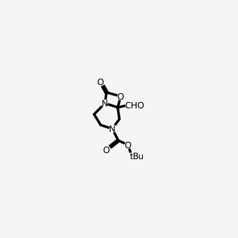 CC(C)(C)OC(=O)N1CCN2C(=O)OC2(C=O)C1